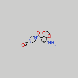 Nc1ccc(C(=O)N2CCN(C3COC3)CC2)c2c1OCCO2